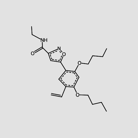 C=Cc1cc(-c2cc(C(=O)NCC)no2)c(OCCCC)cc1OCCCC